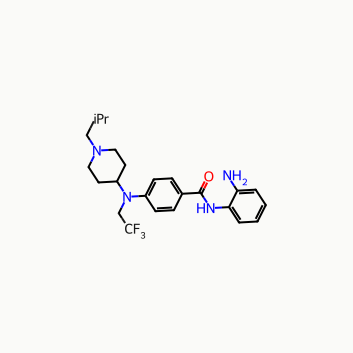 CC(C)CN1CCC(N(CC(F)(F)F)c2ccc(C(=O)Nc3ccccc3N)cc2)CC1